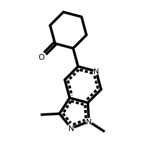 Cc1nn(C)c2cnc(C3CCCCC3=O)cc12